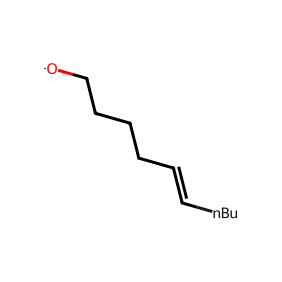 CCCC/C=C/CCCC[O]